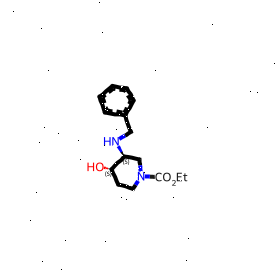 CCOC(=O)N1CC[C@H](O)[C@@H](NCc2ccccc2)C1